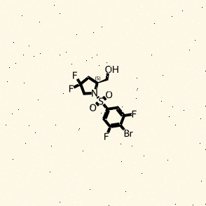 O=S(=O)(c1cc(F)c(Br)c(F)c1)N1CC(F)(F)C[C@H]1CO